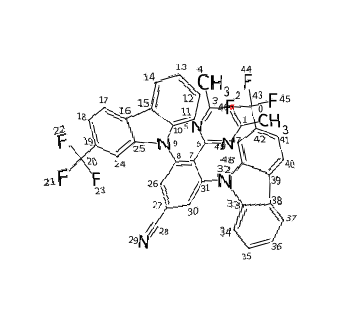 Cc1cc(C)nc(-c2c(-n3c4ccccc4c4ccc(C(F)(F)F)cc43)cc(C#N)cc2-n2c3ccccc3c3ccc(C(F)(F)F)cc32)n1